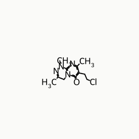 CC1=NN(C)c2nc(C)c(CCCl)c(=O)n2C1